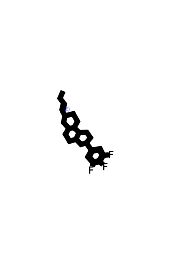 CC/C=C/C1CCC2C(CCC3CC(c4cc(F)c(F)c(F)c4)CCC32)C1